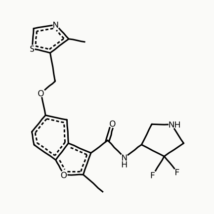 Cc1ncsc1COc1ccc2oc(C)c(C(=O)NC3CNCC3(F)F)c2c1